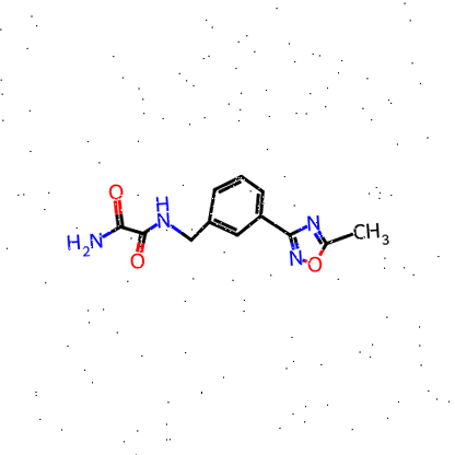 Cc1nc(-c2cccc(CNC(=O)C(N)=O)c2)no1